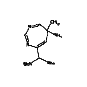 CNC(NC)C1=CC(C)(N)C=NC=N1